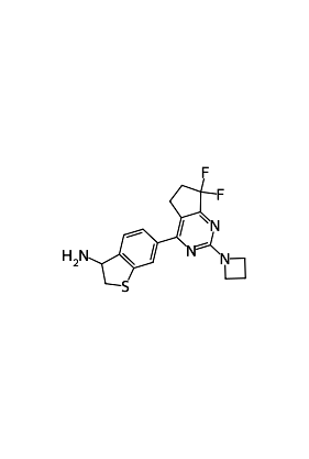 NC1CSc2cc(-c3nc(N4CCC4)nc4c3CCC4(F)F)ccc21